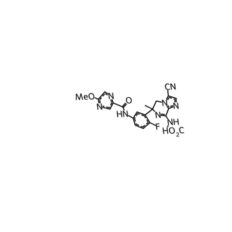 COc1cnc(C(=O)Nc2ccc(F)c(C3(C)Cn4c(C#N)cnc4C(NC(=O)O)=N3)c2)cn1